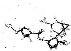 COc1cnc(C(=O)Nc2ccc(Cl)c(C3(CF)N=C(N)OC4C[C@H]43)c2)cn1